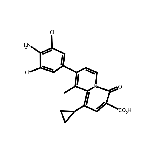 Cc1c(-c2cc(Cl)c(N)c(Cl)c2)ccn2c(=O)c(C(=O)O)cc(C3CC3)c12